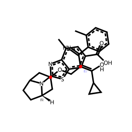 Cc1ccccc1C(=N)/C(COC1CC2CC[C@@H](C1)N2c1nc2c(C)cc(C(=O)O)cc2s1)=C(\O)C1CC1